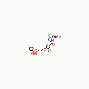 COc1nc(C(=O)c2ccc(OCCCCOS(=O)(=O)c3ccc(C)cc3)c(Cl)c2)ccc1Cl